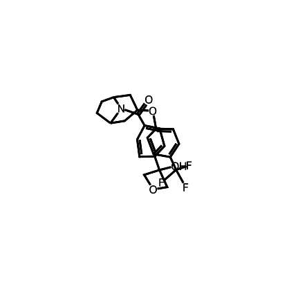 O=C(c1ccc(C2(O)COC2)cc1)N1C2CCC1CC(Oc1ccc(C(F)(F)F)cc1)C2